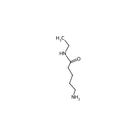 CCNC(=O)[CH]CCCN